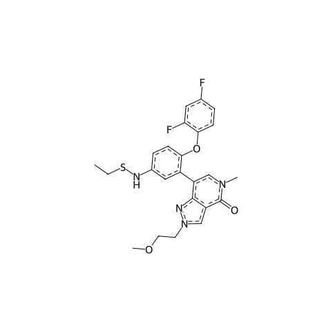 CCSNc1ccc(Oc2ccc(F)cc2F)c(-c2cn(C)c(=O)c3cn(CCOC)nc23)c1